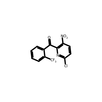 O=C(c1ccccc1C(F)(F)F)c1nc(Cl)ccc1[N+](=O)[O-]